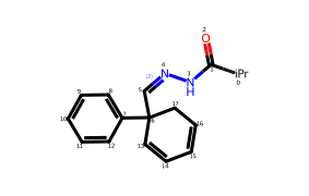 CC(C)C(=O)N/N=C\C1(c2ccccc2)C=CC=CC1